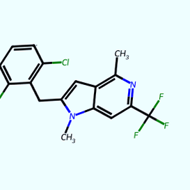 Cc1nc(C(F)(F)F)cc2c1cc(Cc1c(Cl)[c]ccc1Cl)n2C